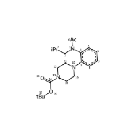 CC(=O)N(CC(C)C)c1ccccc1N1CCN(C(=O)OC(C)(C)C)CC1